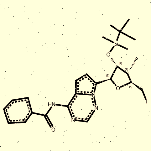 C[C@H]1[C@@H](O[Si](C)(C)C(C)(C)C)[C@H](c2ccc3c(NC(=O)c4ccccc4)ncnn23)O[C@@H]1CI